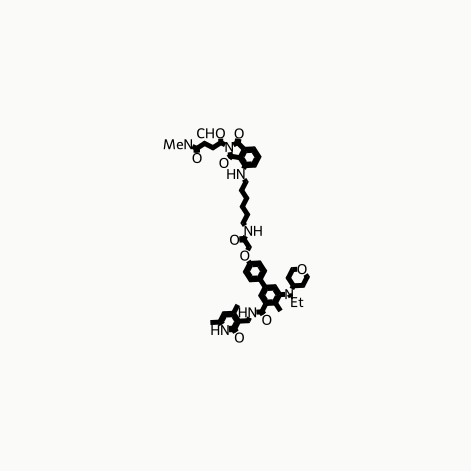 CCN(c1cc(-c2ccc(OCC(=O)NCCCCCCNc3cccc4c3C(=O)N(C(C=O)CCC(=O)NC)C4=O)cc2)cc(C(=O)NCc2c(C)cc(C)[nH]c2=O)c1C)C1CCOCC1